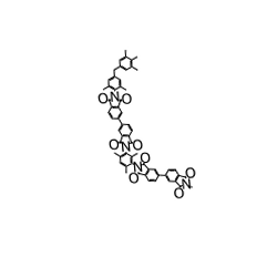 Cc1cc(Cc2cc(C)c(N3C(=O)c4ccc(-c5ccc6c(c5)C(=O)N(c5c(C)cc(C)c(N7C(=O)c8ccc(-c9ccc%10c(c9)C(=O)N(C)C%10=O)cc8C7=O)c5C)C6=O)cc4C3=O)c(C)c2)cc(C)c1C